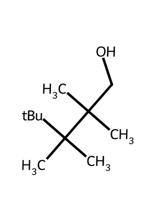 CC(C)(C)C(C)(C)C(C)(C)CO